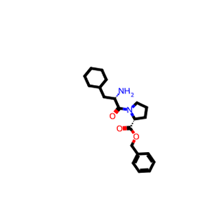 N[C@@H](CC1CCCCC1)C(=O)N1CCC[C@@H]1C(=O)OCc1ccccc1